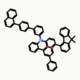 CC1(C)c2ccccc2-c2c(-c3ccc(N(c4cccc(-c5ccc(-c6cccc7ccccc67)cc5)c4)c4ccccc4-c4cccc(-c5ccccc5)c4)cc3)cccc21